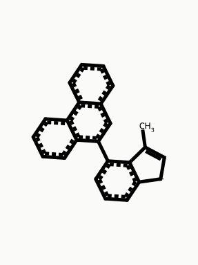 CC1=C[CH]c2cccc(-c3cc4ccccc4c4ccccc34)c21